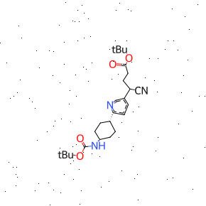 CC(C)(C)OC(=O)CCC(C#N)c1ccc([C@H]2CC[C@H](NC(=O)OC(C)(C)C)CC2)nc1